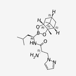 CC(C)C[C@H](NC(=O)[C@@H](N)Cn1cccn1)B1O[C@@H]2C[C@@H]3C[C@@H](C3(C)C)[C@]2(C)O1